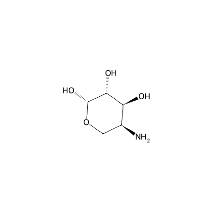 N[C@H]1CO[C@H](O)[C@H](O)[C@H]1O